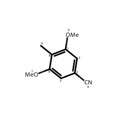 COc1cc(C#N)cc(OC)c1C